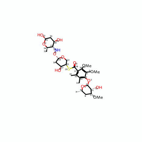 COc1c(O[C@@H]2O[C@@H](C)C[C@@H](OC)[C@H]2O)c(C)c(C)c(C(=O)S[C@@H]2CO[C@@H](ON[C@H]3[C@H](O)C[C@H](O)O[C@@H]3C)C[C@@H]2O)c1OC